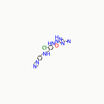 CN1CCN(c2ccc(CNCCc3ccc(NC(=O)Nc4cnc(C#N)cn4)cc3Cl)cc2)CC1